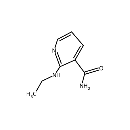 CCNc1ncccc1C(N)=O